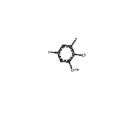 COc1cc(F)cc(F)c1C#N